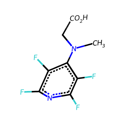 CN(CC(=O)O)c1c(F)c(F)nc(F)c1F